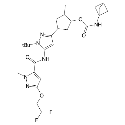 CC1CC(c2cc(NC(=O)c3cc(OCC(F)F)nn3C)n(C(C)(C)C)n2)CC1OC(=O)NC12CC(C1)C2